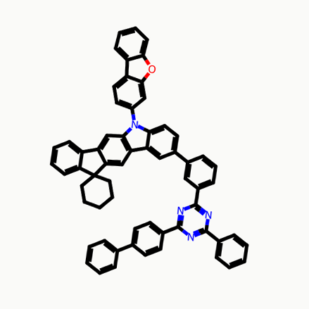 c1ccc(-c2ccc(-c3nc(-c4ccccc4)nc(-c4cccc(-c5ccc6c(c5)c5cc7c(cc5n6-c5ccc6c(c5)oc5ccccc56)-c5ccccc5C75CCCCC5)c4)n3)cc2)cc1